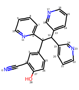 N#Cc1cc(C(c2ccccn2)C(c2cccnc2)c2cccnc2)ccc1O